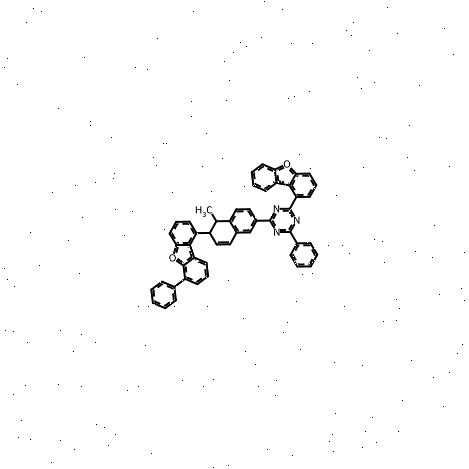 CC1c2ccc(-c3nc(-c4ccccc4)nc(-c4cccc5oc6ccccc6c45)n3)cc2C=CC1c1cccc2oc3c(-c4ccccc4)cccc3c12